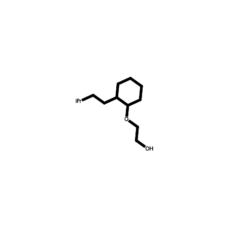 CC(C)CCC1CCCCC1OCCO